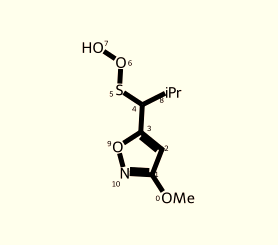 COc1cc(C(SOO)C(C)C)on1